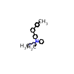 C=C/C(=C\C=C\C)N(C1=CC=CCC1)C1C=CC(C2C=C(c3ccc(C)cc3)C=CC2)=CC1